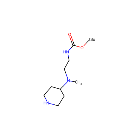 CN(CCNC(=O)OC(C)(C)C)C1CCNCC1